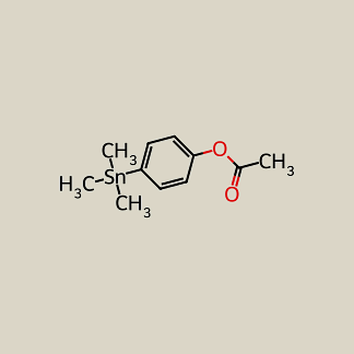 CC(=O)Oc1cc[c]([Sn]([CH3])([CH3])[CH3])cc1